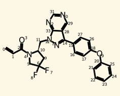 C=CC(=O)N1CC(F)(F)C[C@@H]1Cn1nc(-c2ccc(Oc3ccccc3)cc2)c2cncnc21